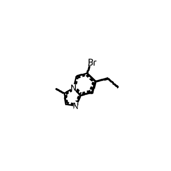 CCc1cc2ncc(C)n2cc1Br